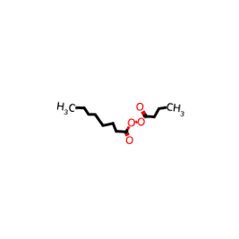 CCCCCCCC(=O)OOC(=O)CCC